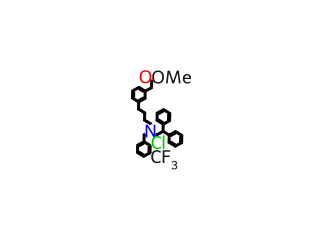 COC(=O)Cc1cccc(CCCCN(Cc2cccc(C(F)(F)F)c2Cl)CC(c2ccccc2)c2ccccc2)c1